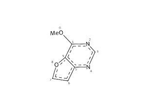 COc1ncnc2ccoc12